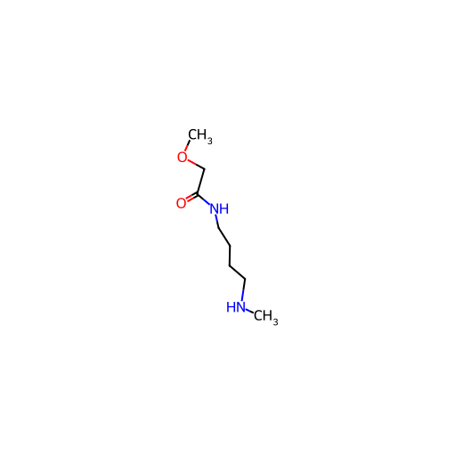 CNCCCCNC(=O)COC